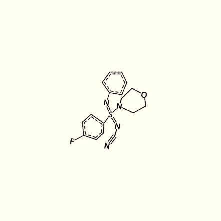 N#CN=S(=Nc1ccccc1)(c1ccc(F)cc1)N1CCOCC1